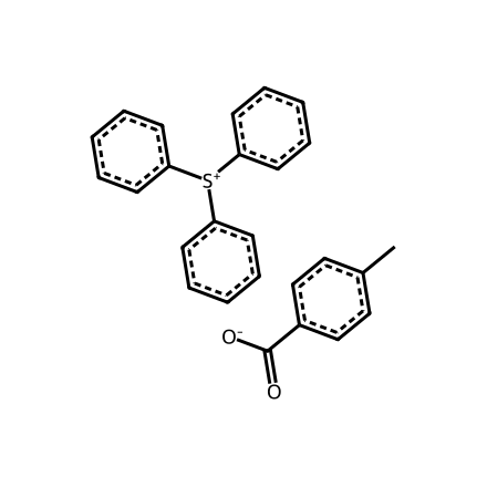 Cc1ccc(C(=O)[O-])cc1.c1ccc([S+](c2ccccc2)c2ccccc2)cc1